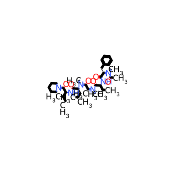 CC[C@H](C)[C@H](NC(=O)[C@H](CC(C)C)N(C)C(=O)[C@H](C)N(C)C(=O)[C@@H](NC(=O)[C@H](Cc1ccccc1)N(C)C(C)=O)C(C)C)C(=O)N1CCCCC1